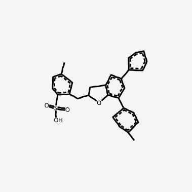 Cc1ccc(-c2cc(-c3ccccc3)cc3c2OC(Cc2cc(C)ccc2S(=O)(=O)O)C3)cc1